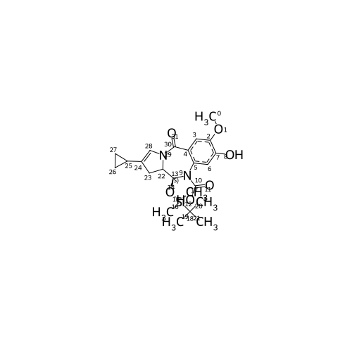 COc1cc2c(cc1O)N(C(=O)O)[C@@H](O[Si](C)(C)C(C)(C)C)C1CC(C3CC3)=CN1C2=O